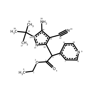 CCOC(=O)C(c1ccncc1)c1nn(C(C)(C)C)c(N)c1C#N